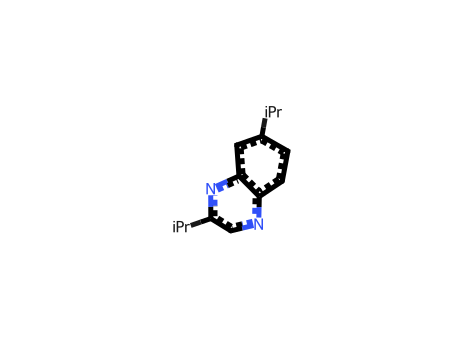 CC(C)c1ccc2ncc(C(C)C)nc2c1